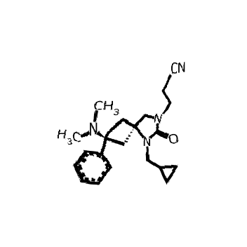 CN(C)[C@]1(c2ccccc2)C[C@@]2(CN(CCC#N)C(=O)N2CC2CC2)C1